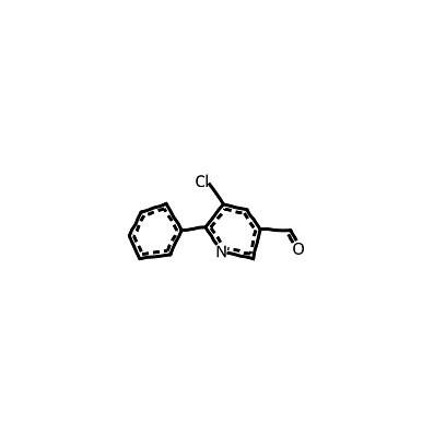 O=Cc1cnc(-c2ccccc2)c(Cl)c1